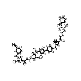 CN1C(=S)C(CCCCC(=O)c2cc(Cc3ccc(-c4cnc5c(c4)OCC(CCCCC(=O)c4nc(Cl)n(Cc6cccc(C#N)c6)n4)C(=S)N5C)cc3)on2)COc2cccnc21